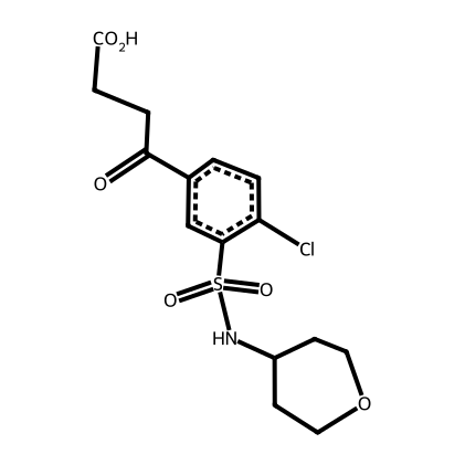 O=C(O)CCC(=O)c1ccc(Cl)c(S(=O)(=O)NC2CCOCC2)c1